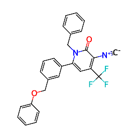 [C-]#[N+]c1c(C(F)(F)F)cc(-c2cccc(COc3ccccc3)c2)n(Cc2ccccc2)c1=O